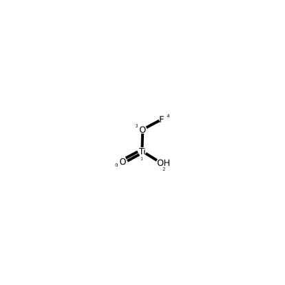 [O]=[Ti]([OH])[O]F